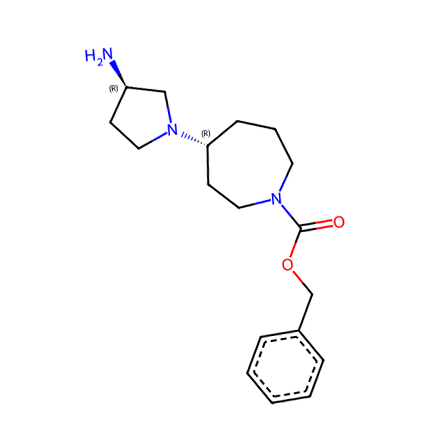 N[C@@H]1CCN([C@@H]2CCCN(C(=O)OCc3ccccc3)CC2)C1